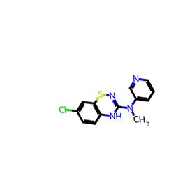 CN(C1=NSc2cc(Cl)ccc2N1)c1cccnc1